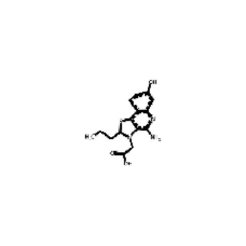 CCCC1Sc2c(c(N)nc3cc(O)ccc23)N1CC(=O)O